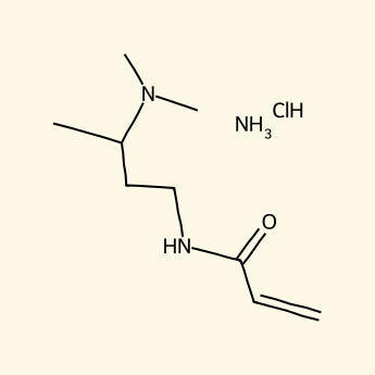 C=CC(=O)NCCC(C)N(C)C.Cl.N